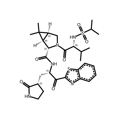 CC(C)[C@@H](NS(=O)(=O)C(C)C)C(=O)N1C[C@H]2[C@@H]([C@H]1C(=O)N[C@@H](C[C@@H]1CCNC1=O)C(=O)c1nc3ccccc3s1)C2(C)C